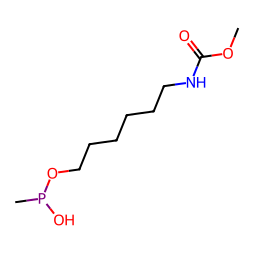 COC(=O)NCCCCCCOP(C)O